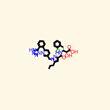 CCCc1cc(C(=O)N[C@H](Cc2ccccc2Cl)[C@@H](O)C(=O)O)nn1Cc1ccc(-c2ccccc2-c2nnn[nH]2)nc1